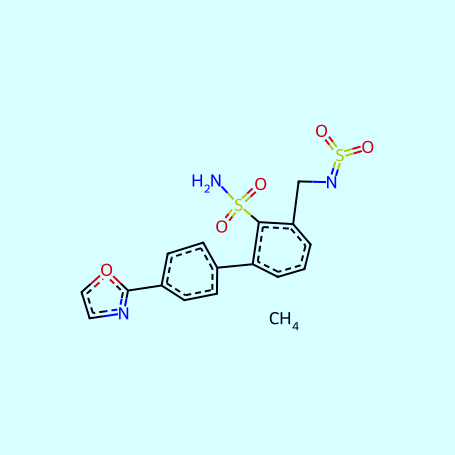 C.NS(=O)(=O)c1c(CN=S(=O)=O)cccc1-c1ccc(-c2ncco2)cc1